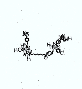 Cc1ncsc1-c1ccc(CNC(=O)[C@@H]2C[C@@H](O)CN2C(=O)C(NC(=O)CCCCCCCCC(=O)N2CCN(CC[C@H](NC(=O)C3(N)CCN(c4ncnc5[nH]ccc45)CC3)c3ccc(Cl)cc3)CC2)C(C)(C)C)cc1